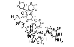 C=C(COC(c1ccccc1)(c1ccccc1)c1ccccc1)C(=O)SCCOP(=O)(NCc1ccccc1)OCC(OCn1cnc2c(=O)[nH]c(N)nc21)[C@@H](O)C(C)(C)O